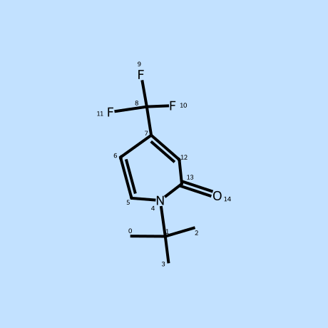 CC(C)(C)n1ccc(C(F)(F)F)cc1=O